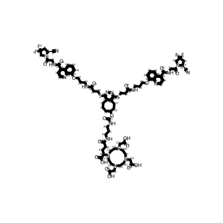 N#C[C@@H]1CC(F)(F)CN1C(=O)CNC(=O)c1ccnc2c(OCCCNC(=O)CCSc3nnc(SCCC(=O)NCCCOc4cccc5c(C(=O)NCC(=O)N6CC(F)(F)C[C@H]6C#N)ccnc45)c4c3CCCC(OC(=O)NCCCNC(=O)CCC(C(=O)O)N3CCN(CC(=O)O)CCN(CC(=O)O)CCN(CC(=O)O)CC3)CC4)cccc12